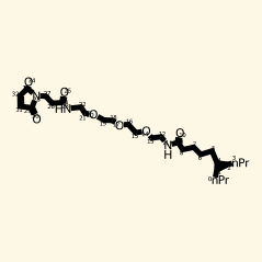 CCCC1C(CCC)C1CCCCC(=O)NCCOCCOCCOCCNC(=O)CCN1C(=O)C=CC1=O